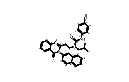 CC(C)CN(CCc1nc2ccccc2c(=O)n1-c1ccc2ccccc2c1)C(=O)Nc1ccc(Cl)cc1